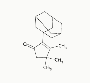 CC1=C(C23CC4CC(CC(C4)C2)C3)C(=O)CC1(C)C